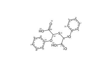 O=C(O)C(Oc1ccccc1)SC(Oc1ccccc1)C(=O)O